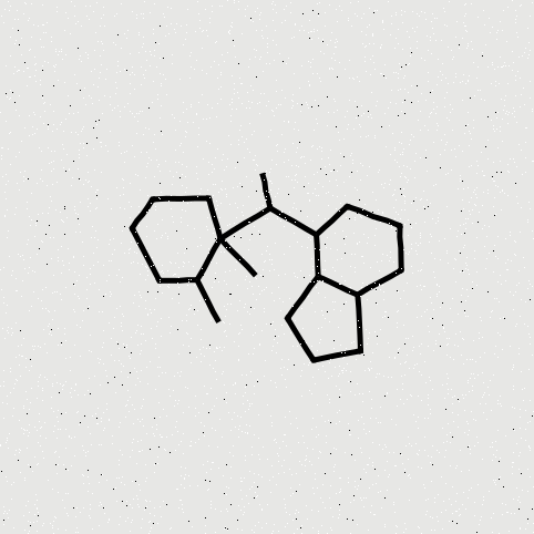 CC1CCCCC1(C)C(C)C1CCCC2CCCC21